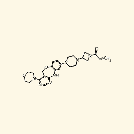 C=CC(=O)N1CC(N2CCN(c3ccc4c(c3)Nc3ncnc(N5CCOCC5)c3CO4)CC2)C1